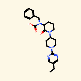 CCc1cnc(N2CCC(N3CCCC(N(Cc4ccccc4)C(=O)O)C3=O)CC2)nc1